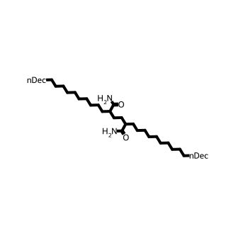 CCCCCCCCCCCCCCCCCCCCC(CCC(CCCCCCCCCCCCCCCCCCCC)C(N)=O)C(N)=O